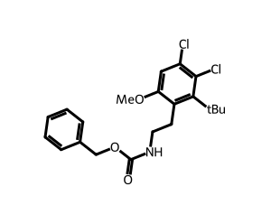 COc1cc(Cl)c(Cl)c(C(C)(C)C)c1CCNC(=O)OCc1ccccc1